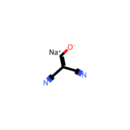 N#CC(C#N)=C[O-].[Na+]